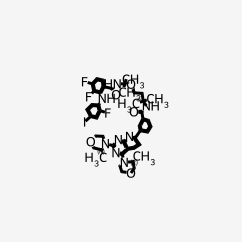 C[C@@H]1COCCN1c1nc(N2CCOC[C@H]2C)c2ccc(-c3cccc(C(=O)NC(C)(C)CCOC(C)(C)NC(=O)c4ccc(F)c(F)c4Nc4ccc(I)cc4F)c3)nc2n1